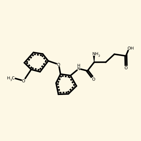 COc1cccc(Oc2ccccc2NC(=O)[C@@H](N)CCC(=O)O)c1